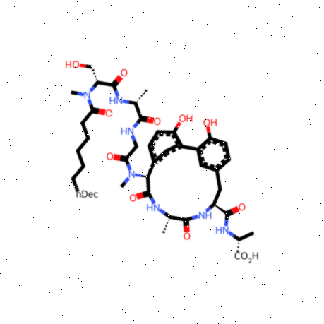 CCCCCCCCCCCCCCCC(=O)N(C)[C@H](CO)C(=O)N[C@H](C)C(=O)NCC(=O)N(C)[C@@H]1C(=O)N[C@@H](C)C(=O)N[C@H](C(=O)N[C@H](C)C(=O)O)Cc2ccc(O)c(c2)-c2cc1ccc2O